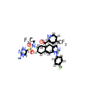 Cn1cc(S(=O)(=O)N(CC(F)(F)F)[C@H]2CCC3=Cc4c(cnn4-c4ccc(F)cc4)C[C@]3(C(=O)c3cc(C(F)(F)F)ccn3)C2)nn1